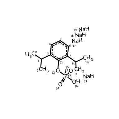 CC(C)c1cccc(C(C)C)c1OP(=O)(O)O.[NaH].[NaH].[NaH].[NaH]